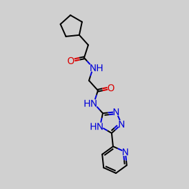 O=C(CC1CCCC1)NCC(=O)Nc1nnc(-c2ccccn2)[nH]1